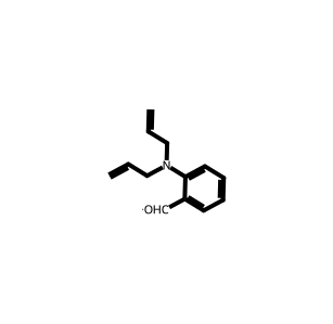 C=CCN(CC=C)c1ccccc1[C]=O